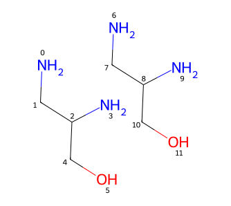 NCC(N)CO.NCC(N)CO